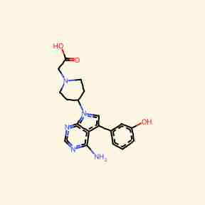 Nc1ncnc2c1c(-c1cccc(O)c1)cn2C1CCN(CC(=O)O)CC1